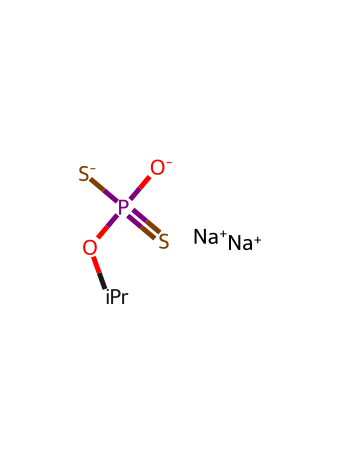 CC(C)OP([O-])(=S)[S-].[Na+].[Na+]